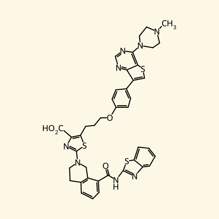 CN1CCN(c2ncnc3c(-c4ccc(OCCCc5sc(N6CCc7cccc(C(=O)Nc8nc9ccccc9s8)c7C6)nc5C(=O)O)cc4)csc23)CC1